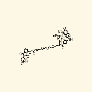 C=C1NC(=O)CCC1N1C(=O)c2cccc(OCC(=O)NCCCOCCOCCOCCCNC(=O)c3ccc(Nc4ncc5c(n4)N(CCCCC)[C@H](CC)C(=O)N5C)c(OC)c3)c2C1=O